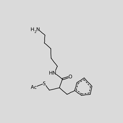 CC(=O)SCC(Cc1ccccc1)C(=O)NCCCCCN